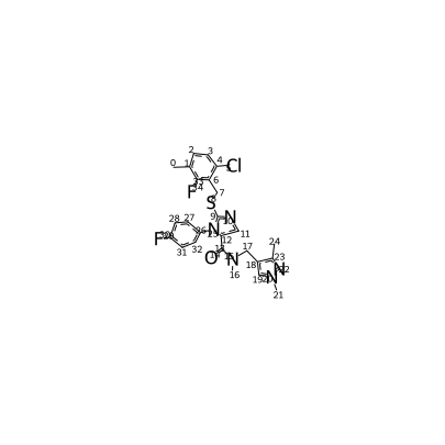 Cc1ccc(Cl)c(CSc2ncc(C(=O)N(C)Cc3cn(C)nc3C)n2-c2ccc(F)cc2)c1F